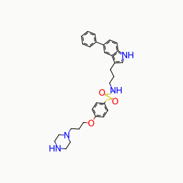 O=S(=O)(NCCCc1c[nH]c2ccc(-c3ccccc3)cc12)c1ccc(OCCCN2CCNCC2)cc1